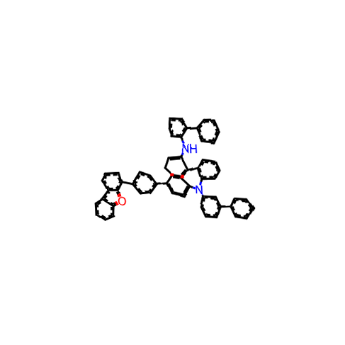 C1=C=C(N(c2cccc(-c3ccccc3)c2)c2ccccc2C2=CCCC=C2Nc2ccccc2-c2ccccc2)C=CC=1c1ccc(-c2cccc3c2oc2ccccc23)cc1